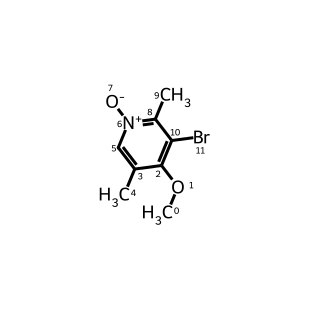 COc1c(C)c[n+]([O-])c(C)c1Br